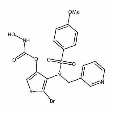 COc1ccc(S(=O)(=O)N(Cc2cccnc2)c2c(OC(=O)NO)csc2Br)cc1